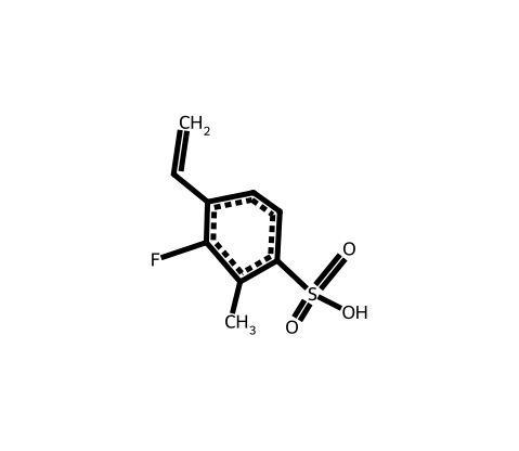 C=Cc1ccc(S(=O)(=O)O)c(C)c1F